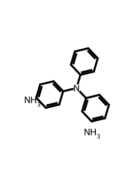 N.N.c1ccc(N(c2ccccc2)c2ccccc2)cc1